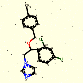 FC(F)(F)c1ccc(COC(Cn2ccnc2)c2ccc(Cl)cc2Cl)cc1